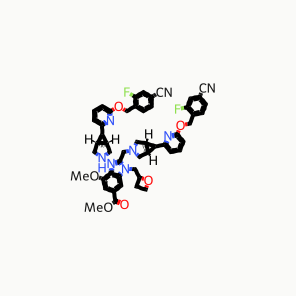 COC(=O)c1cc(OC)c2nc(CN3C[C@@H]4C(c5cccc(OCc6ccc(C#N)cc6F)n5)[C@@H]4C3)n(CC3CCO3)c2c1.N#Cc1ccc(COc2cccc(C3[C@H]4CNC[C@@H]34)n2)c(F)c1